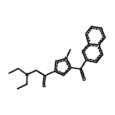 CCN(CC)CC(=O)c1cc(C(=O)c2ccc3ccccc3c2)n(C)c1